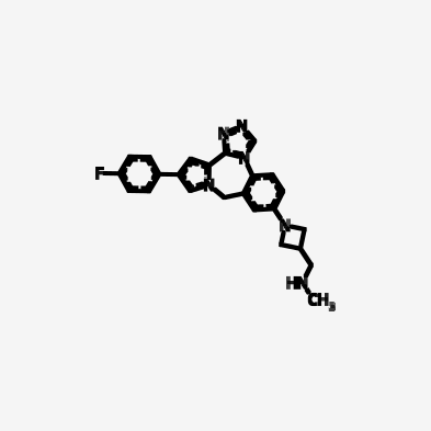 CNCC1CN(c2ccc3c(c2)Cn2cc(-c4ccc(F)cc4)cc2-c2nncn2-3)C1